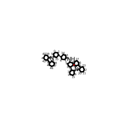 c1cc(-c2ccc(Nc3ccc(-c4ccccc4-n4c5ccccc5c5ccccc54)cc3)cc2)cc(-n2c3ccccc3c3ccccc32)c1